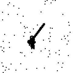 CCCCCCCCCCCCCCCCCCCC(=O)OCN1c2ccccc2N=C(N2CCN(C)CC2)c2cc(C)sc21